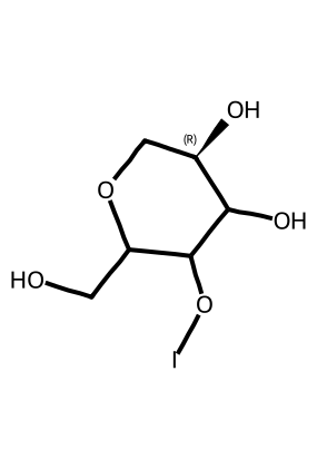 OCC1OC[C@@H](O)C(O)C1OI